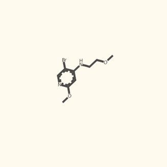 COCCNc1cc(OC)ncc1Br